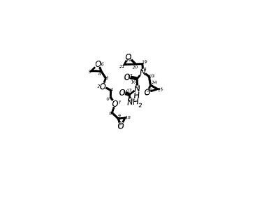 C(COCC1CO1)OCC1CO1.NC(=O)NC(=O)N(CC1CO1)CC1CO1